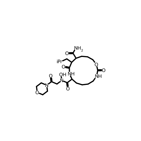 CC(C)CC1C(=O)NC(C(=O)N(O)CC(=O)N2CCOCC2)CCCCNC(=O)OCCCC1C(N)=O